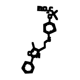 CCOC(=O)C(C)(C)Oc1ccc(SCCc2nc(-c3ccccc3)oc2C)cc1